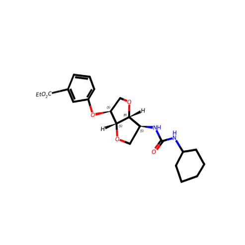 CCOC(=O)c1cccc(O[C@H]2CO[C@H]3[C@@H]2OC[C@@H]3NC(=O)NC2CCCCC2)c1